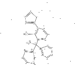 Cc1c(C2=CC=CC2)cccc1C(C)(c1ccccc1)c1ccccc1